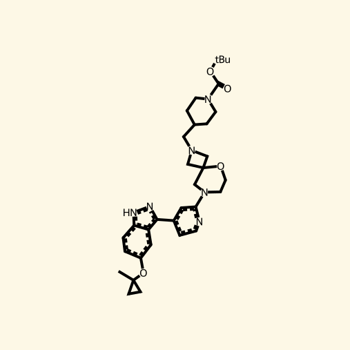 CC(C)(C)OC(=O)N1CCC(CN2CC3(C2)CN(c2cc(-c4n[nH]c5ccc(OC6(C)CC6)cc45)ccn2)CCO3)CC1